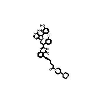 Nc1ncnc2c1c(-c1cccc(O)c1)nn2CC(c1cccc(Cl)c1)c1nc2cccc(C#CCCCC(=O)N3CCC(N4CCOCC4)CC3)c2c(=O)[nH]1